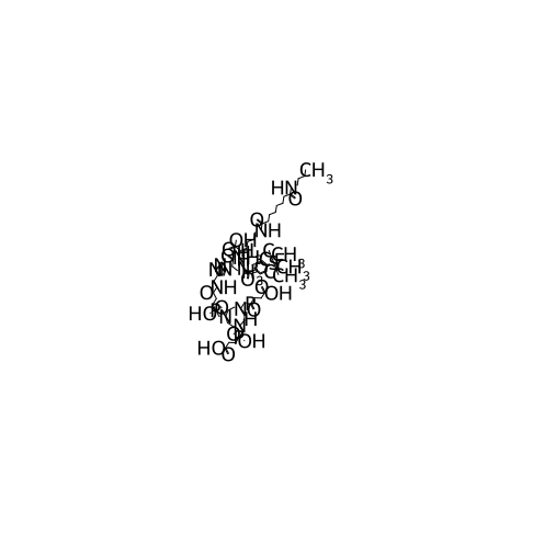 CCCCNC(=O)CCCCCCC(=O)NCCCCC(NC(=O)C(CNC(=O)c1ccc(S(F)(C(C)(C)C)C(C)(C)C)cc1)n1cc(CNC(=O)CCP(=O)(O)CN2CCN(C[PH](=O)CCC(=O)O)CCN(CP(=O)(O)CCC(=O)O)CC2)nn1)C(=O)O